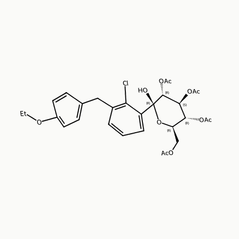 CCOc1ccc(Cc2cccc([C@@]3(O)O[C@H](COC(C)=O)[C@@H](OC(C)=O)[C@H](OC(C)=O)[C@H]3OC(C)=O)c2Cl)cc1